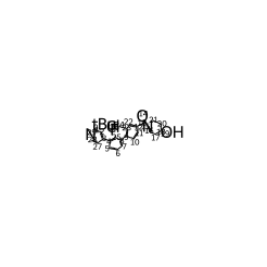 CC(C)(C)c1cc(-c2cccc(-c3ccc(C(=O)N4CCC(O)CC4)cc3Cl)c2F)ccn1